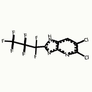 FC(F)(F)C(F)(F)C(F)(F)c1nc2nc(Cl)c(Cl)cc2[nH]1